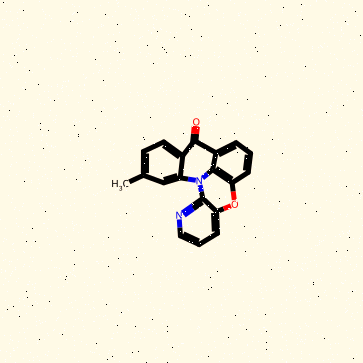 Cc1ccc2c(=O)c3cccc4c3n(c2c1)-c1ncccc1O4